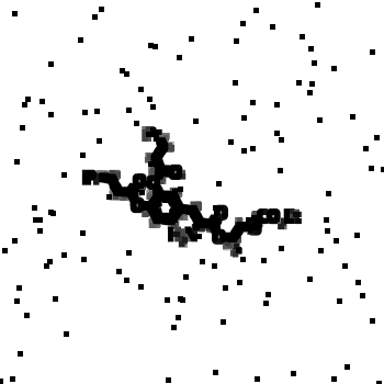 CCOC(=O)OC[C@H](C)OC(=O)[C@@H](N)Cc1ccc(OC(=O)CCC(C)C)c(OC(=O)CCC(C)C)c1